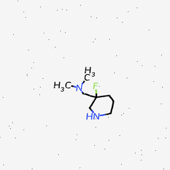 CN(C)CC1(F)CCCNC1